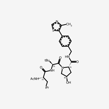 CC(=O)N[C@@H](CC(C)C)C(=O)N[C@H](C(=O)N1C[C@H](O)C[C@H]1C(=O)NCc1ccc(-c2scnc2C)cc1)C(C)(C)C